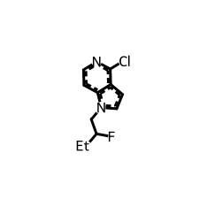 CCC(F)Cn1ccc2c(Cl)nccc21